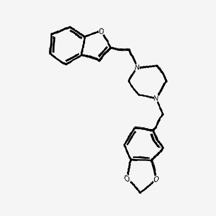 c1ccc2oc(CN3CCN(Cc4ccc5c(c4)OCO5)CC3)cc2c1